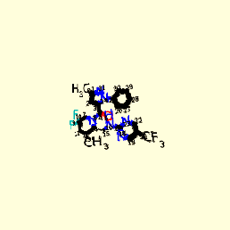 Cc1cc(C(=O)N2CC(F)(F)C[C@@H](C)[C@H]2CNc2ncc(C(F)(F)F)cn2)n(-c2ccccc2)n1